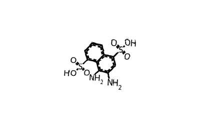 Nc1cc(S(=O)(=O)O)c2cccc(S(=O)(=O)O)c2c1N